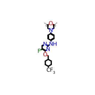 C[C@@H]1CN(c2ccc(Nc3ncc(F)c(OCC4CCC(C(F)(F)F)CC4)n3)cc2)C[C@H](C)O1